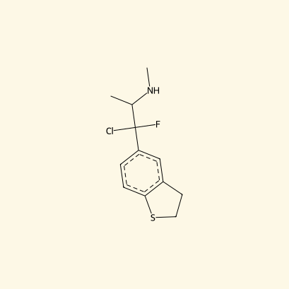 CNC(C)C(F)(Cl)c1ccc2c(c1)CCS2